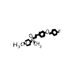 CN1CCC(N(C)C(=O)C=Cc2ccc(OCc3ccc(F)cc3)cc2)CC1